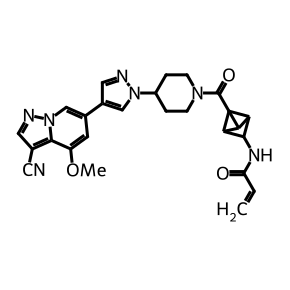 C=CC(=O)NC1C2CC1C2C(=O)N1CCC(n2cc(-c3cc(OC)c4c(C#N)cnn4c3)cn2)CC1